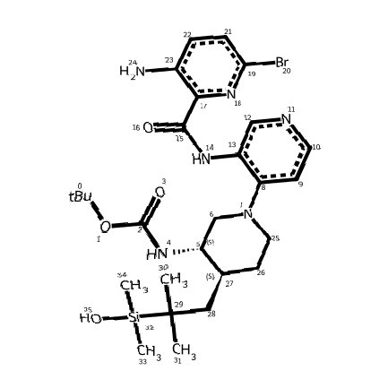 CC(C)(C)OC(=O)N[C@@H]1CN(c2ccncc2NC(=O)c2nc(Br)ccc2N)CC[C@H]1CC(C)(C)[Si](C)(C)O